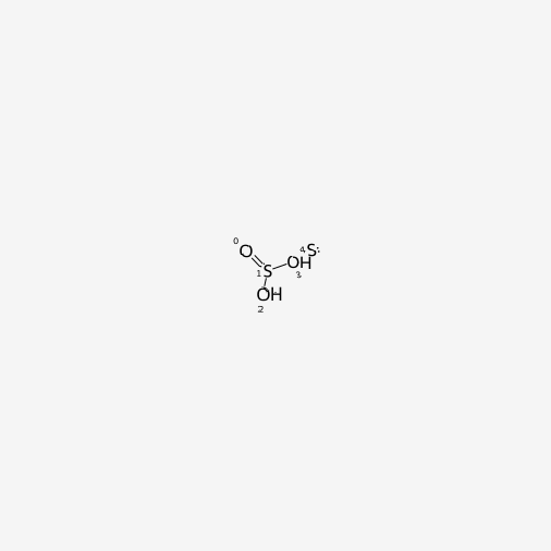 O=S(O)O.[S]